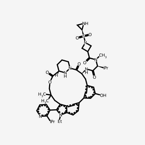 CCn1c(-c2cccnc2C(C)C)c2c3cc(ccc31)-c1cc(O)cc(c1)C[C@H](NC(=O)[C@H](C(C)C)N(C)C(=O)C1CN(S(=O)(=O)[C@H]3CN3)C1)C(=O)N1CCC[C@H](N1)C(=O)OCC(C)(C)C2